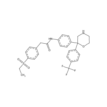 CCS(=O)(=O)c1ccc(CC(=O)Nc2ccc(C3(c4ccc(C(F)(F)F)cc4)CNCCO3)cc2)cc1